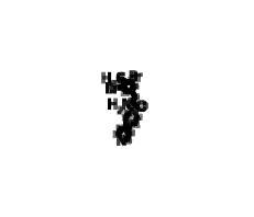 Cc1c(Br)cc(C[C@H](N)C(=O)N2CCN(c3ccncc3)CC2)cc1Br